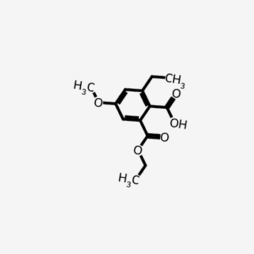 CCOC(=O)c1cc(OC)cc(CC)c1C(=O)O